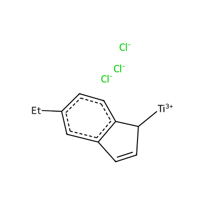 CCc1ccc2c(c1)C=C[CH]2[Ti+3].[Cl-].[Cl-].[Cl-]